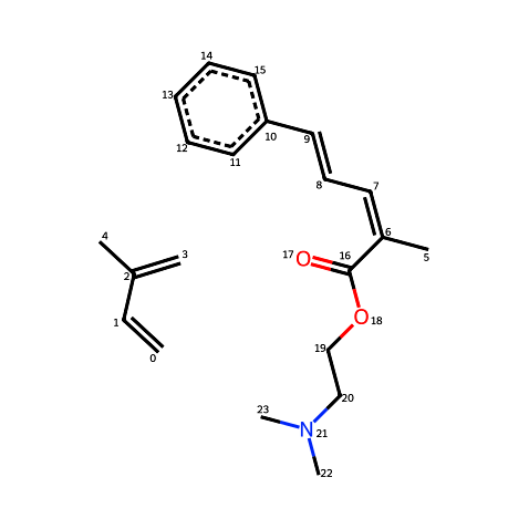 C=CC(=C)C.CC(=CC=Cc1ccccc1)C(=O)OCCN(C)C